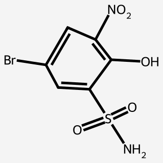 NS(=O)(=O)c1cc(Br)cc([N+](=O)[O-])c1O